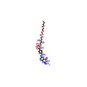 CCCCOCCOCCOCCCNC(=O)CC[C@H](NC(=O)c1ccc(NCc2cnc3nc(N)[nH]c(=O)c3n2)cc1)C(=O)O